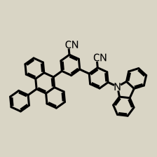 N#Cc1cc(-c2ccc(-n3c4ccccc4c4ccccc43)cc2C#N)cc(-c2c3ccccc3c(-c3ccccc3)c3ccccc23)c1